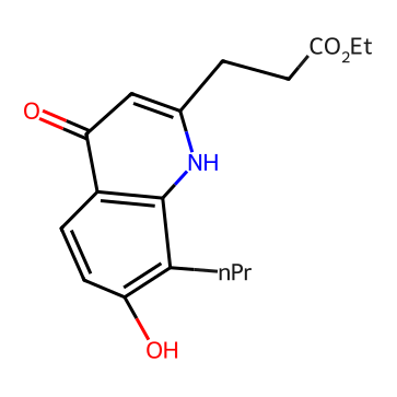 CCCc1c(O)ccc2c(=O)cc(CCC(=O)OCC)[nH]c12